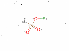 [CH2]CS(=O)(=O)OF